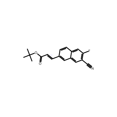 CC(C)(C)OC(=O)/C=C/c1ccc2cc(F)c(C#N)cc2c1